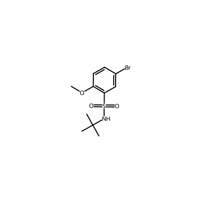 COc1ccc(Br)cc1S(=O)(=O)NC(C)(C)C